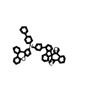 c1ccc(-c2ccc(N(c3ccc(-c4cccc5c4-c4ccccc4C54c5ccccc5-c5ccccc5-c5ccccc54)cc3)c3ccc4c(c3)-c3ccccc3-c3ccccc3O4)cc2)cc1